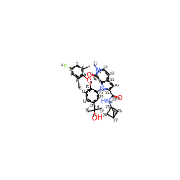 Cc1cc(F)cc(C)c1Oc1ccc(C(C)(C)O)cc1-n1c(C(=O)NC23CC(C2)C3)cc2ccn(C)c(=O)c21